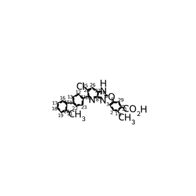 Cc1ccc(Oc2nc3nc(-c4ccc(-c5ccccc5C)cc4)c(Cl)cc3[nH]2)cc1C(=O)O